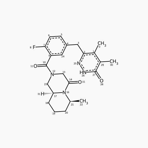 Cc1c(Cc2ccc(F)c(C(=O)N3CC(=O)N4[C@@H](CCC[C@@H]4C)C3)c2)n[nH]c(=O)c1C